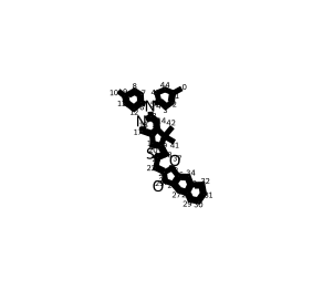 CC1=CC=C(N(c2ccc(C)cc2)c2cc3c(cn2)-c2sc(C=C4C(=O)c5cc6ccccc6cc5C4=O)cc2C3(C)C)CC1